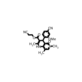 COc1cc(C#N)ccc1C1C(C(=O)OCCC#N)=C(C)Nc2c(C)cn(C)c(=O)c21